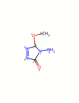 COC1N=NC(=O)N1N